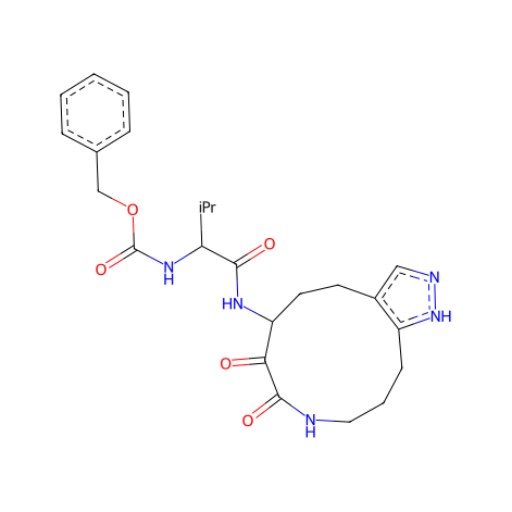 CC(C)C(NC(=O)OCc1ccccc1)C(=O)NC1CCc2cn[nH]c2CCCNC(=O)C1=O